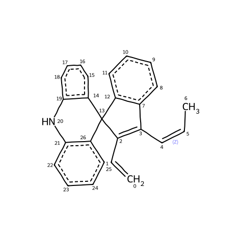 C=CC1=C(/C=C\C)c2ccccc2C12c1ccccc1Nc1ccccc12